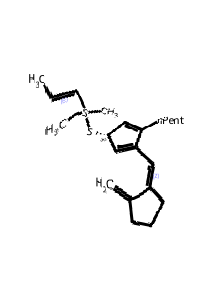 C=C1CCC/C1=C/C1=C[C@H](SS(C)(C)/C=C/C)C=C1CCCCC